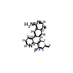 C=C/C=C(F)\C(=C/C)c1ncccc1-c1ccc2ncnc(N)c2c1